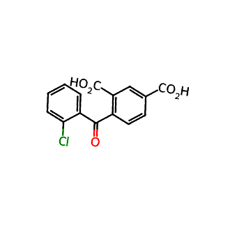 O=C(O)c1ccc(C(=O)c2ccccc2Cl)c(C(=O)O)c1